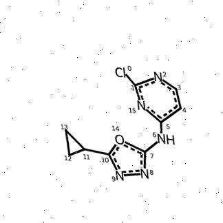 Clc1nccc(Nc2nnc(C3CC3)o2)n1